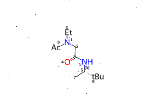 CCN(CC(=O)N[C@@H](C)C(C)(C)C)C(C)=O